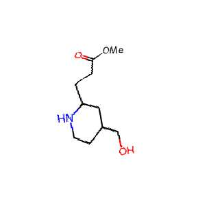 COC(=O)CCC1CC(CO)CCN1